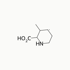 CC1[CH]CCNC1C(=O)O